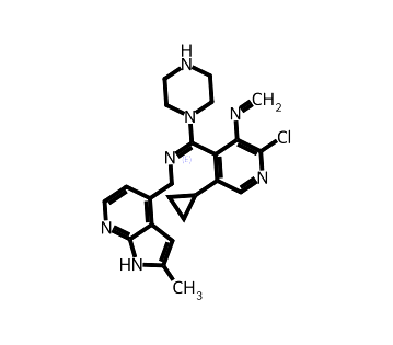 C=Nc1c(Cl)ncc(C2CC2)c1/C(=N\Cc1ccnc2[nH]c(C)cc12)N1CCNCC1